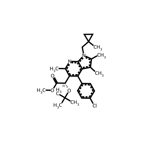 COC(=O)[C@@H](OC(C)(C)C)c1c(C)nc2c(c(C)c(C)n2CC2(C)CC2)c1-c1ccc(Cl)cc1